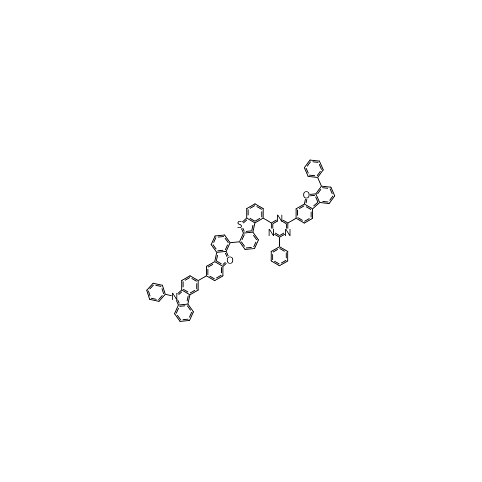 c1ccc(-c2nc(-c3ccc4c(c3)oc3c(-c5ccccc5)cccc34)nc(-c3cccc4sc5c(-c6cccc7c6oc6ccc(-c8ccc9c(c8)c8ccccc8n9-c8ccccc8)cc67)cccc5c34)n2)cc1